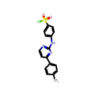 O=S(=O)(Cl)c1ccc(Nc2nccc(-c3ccc(C(F)(F)F)cc3)n2)cc1